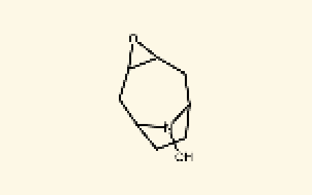 ON1C2CCC1CC1OC1C2